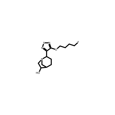 OC1CN2CC1CCC2c1nsnc1OCCCCF